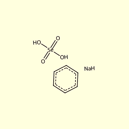 O=[Se](=O)(O)O.[NaH].c1ccccc1